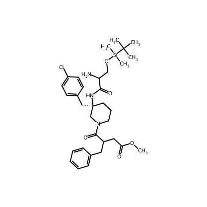 COC(=O)CC(Cc1ccccc1)C(=O)N1CCC[C@](Cc2ccc(Cl)cc2)(NC(=O)C(N)CO[Si](C)(C)C(C)(C)C)C1